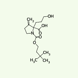 C=C1CCN(C(=O)OCCC(C)(C)C)C1(CCCO)C(=O)O